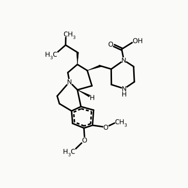 COc1cc2c(cc1OC)[C@H]1C[C@H](CC3CNCCN3C(=O)O)[C@H](CC(C)C)CN1CC2